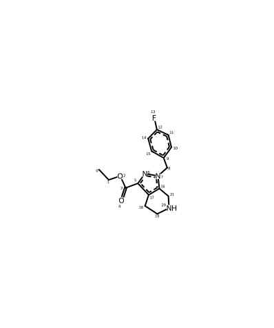 CCOC(=O)c1nn(Cc2ccc(F)cc2)c2c1CCNC2